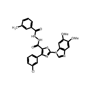 COc1cc2ncn(-c3nc(-c4cccc(Cl)c4)c(C(=O)NNC(=O)c4cccc(C)c4)s3)c2cc1OC